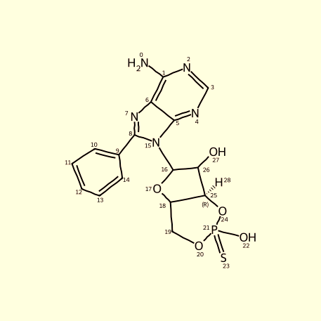 Nc1ncnc2c1nc(-c1ccccc1)n2C1OC2COP(O)(=S)O[C@@H]2C1O